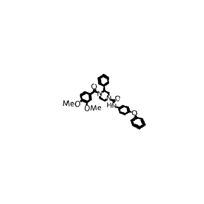 COc1ccc(C(=O)N2CCN(C(=O)Nc3ccc(Oc4ccccc4)cc3)CC2c2ccccc2)cc1OC